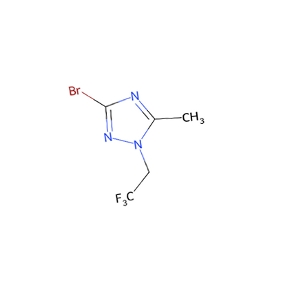 Cc1nc(Br)nn1CC(F)(F)F